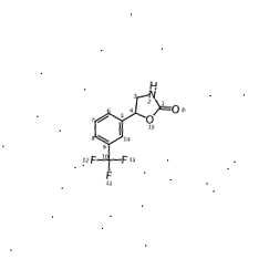 O=C1NCC(c2cccc(C(F)(F)F)c2)O1